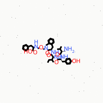 CCC(C)[C@H](NC(=O)[C@H](Cc1ccc(O)cc1)NC(=O)[C@@H](CN)C(C)C)C(=O)NC1Cc2ccccc2CN(COCNC(Cc2ccccc2)C(=O)O)C1=O